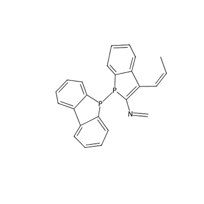 C=Nc1c(/C=C\C)c2ccccc2p1-p1c2ccccc2c2ccccc21